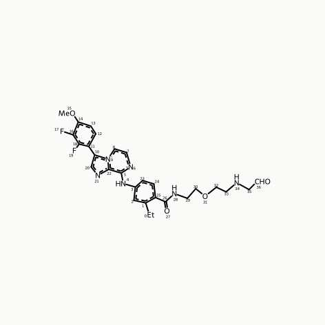 CCc1cc(Nc2nccn3c(-c4ccc(OC)c(F)c4F)cnc23)ccc1C(=O)NCCOCCNCC=O